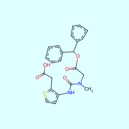 CN(CC(=O)OC(c1ccccc1)c1ccccc1)C(=O)Nc1ccsc1CC(=O)O